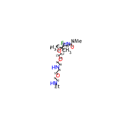 CCNCCOCCNCCOCCOC(C)(C)C(F)CNC(=O)NC